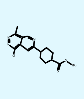 Cc1nnc(Cl)c2cc(C3CCC(C(=O)OC(C)(C)C)CC3)ncc12